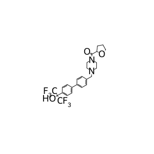 O=C(C1CCCO1)N1CCN(Cc2ccc(-c3ccc(C(O)(C(F)(F)F)C(F)(F)F)cc3)cc2)CC1